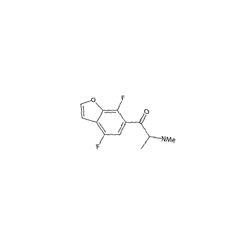 CNC(C)C(=O)c1cc(F)c2ccoc2c1F